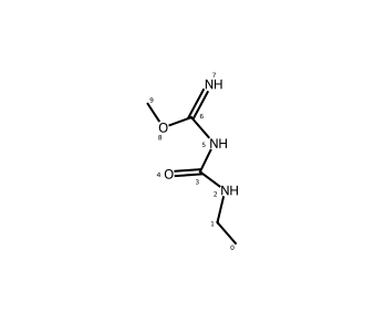 CCNC(=O)NC(=N)OC